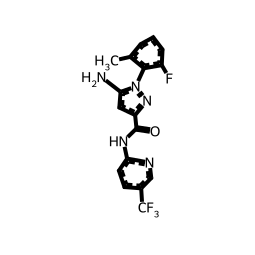 Cc1cccc(F)c1-n1nc(C(=O)Nc2ccc(C(F)(F)F)cn2)cc1N